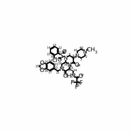 CN1CCN([C@@H]2CN(S(=O)(=O)c3ccccc3Cl)C3CN(Cc4ccc5c(c4)OCO5)C(=O)[C@H](CNC(=O)C(F)(F)F)N3C2=O)CC1